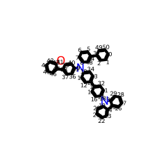 c1ccc(-c2cccc(N(c3ccc(-c4ccc(-n5c6ccccc6c6ccccc65)cc4)cc3)c3ccc4c(c3)oc3ccccc34)c2)cc1